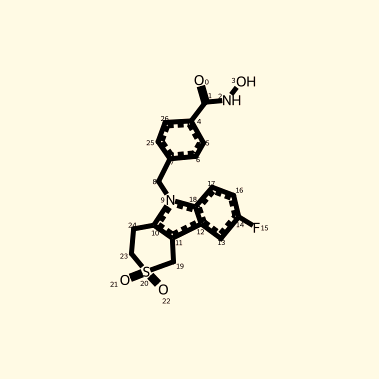 O=C(NO)c1ccc(Cn2c3c(c4cc(F)ccc42)CS(=O)(=O)CC3)cc1